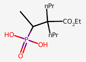 CCCC(CCC)(C(=O)OCC)C(C)P(=O)(O)O